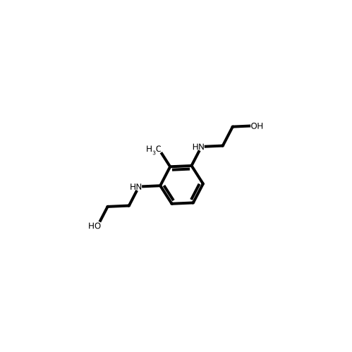 Cc1c(NCCO)cccc1NCCO